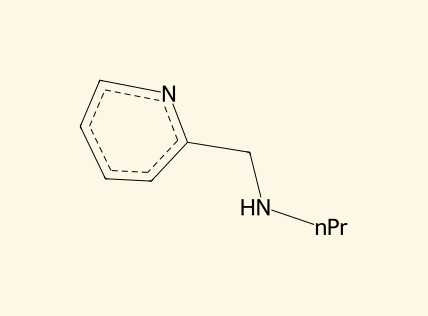 CCCNCc1ccccn1